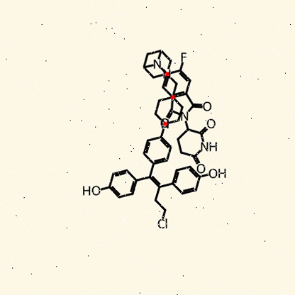 O=C1CCC(N2C(=O)c3cc(F)c(N4C5CC4CN(CC4CCN(c6ccc(C(=C(CCCl)c7ccc(O)cc7)c7ccc(O)cc7)cc6)CC4)C5)cc3C2=O)C(=O)N1